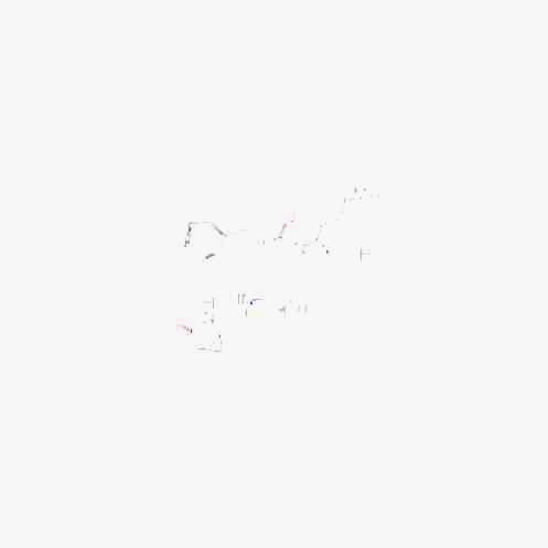 CC[C@H](C)[C@@H](COC(Cc1ccccc1)C(=O)N[C@@H](CCSC)C(=O)O)NC[C@@H]1CCC(=O)N1